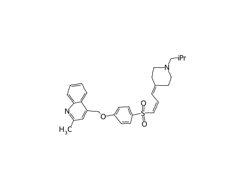 Cc1cc(COc2ccc(S(=O)(=O)/C=C\C=C3CCN(CC(C)C)CC3)cc2)c2ccccc2n1